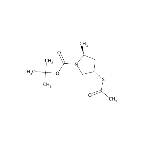 CC(=O)S[C@H]1C[C@H](C)N(C(=O)OC(C)(C)C)C1